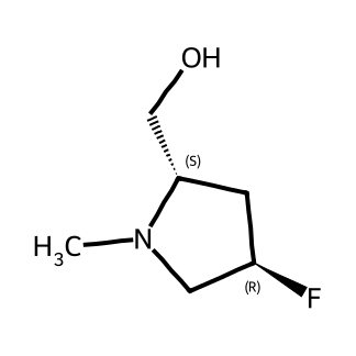 CN1C[C@H](F)C[C@H]1CO